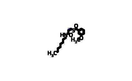 CCCCCCCCNC(=O)/C=C\SC(=O)c1cccc(OC)c1